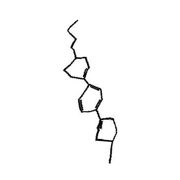 CCCCC1CC=C(c2ccc(C3=CCC(CC)CC3)cc2)CC1